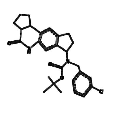 CC(C)(C)OC(=O)N(Cc1cccc(Cl)c1)C1CCc2cc3c(cc21)NC(=O)C1CCCC31